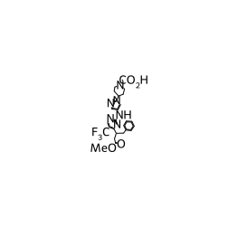 COC(=O)CC(Cc1ccccc1)c1nc(Nc2cnn(C3CCN(C(=O)O)CC3)c2)ncc1C(F)(F)F